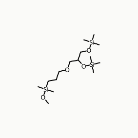 CO[Si](C)(C)CCCOCC(CO[Si](C)(C)C)O[Si](C)(C)C